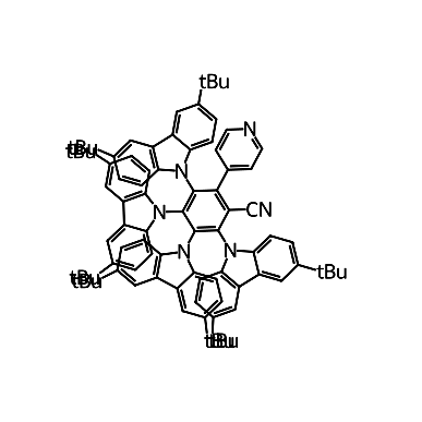 CC(C)(C)c1ccc2c(c1)c1cc(C(C)(C)C)ccc1n2-c1c(C#N)c(-c2ccncc2)c(-n2c3ccc(C(C)(C)C)cc3c3cc(C(C)(C)C)ccc32)c(-n2c3ccc(C(C)(C)C)cc3c3cc(C(C)(C)C)ccc32)c1-n1c2ccc(C(C)(C)C)cc2c2cc(C(C)(C)C)ccc21